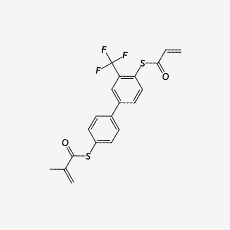 C=CC(=O)Sc1ccc(-c2ccc(SC(=O)C(=C)C)cc2)cc1C(F)(F)F